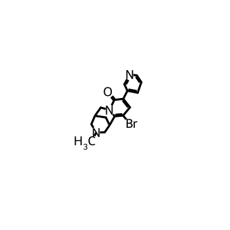 CN1CC2CC(C1)c1c(Br)cc(-c3cccnc3)c(=O)n1C2